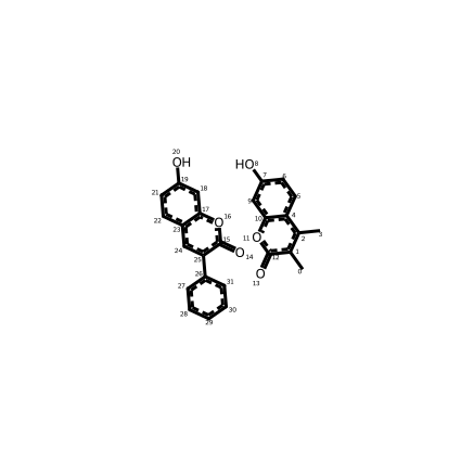 Cc1c(C)c2ccc(O)cc2oc1=O.O=c1oc2cc(O)ccc2cc1-c1ccccc1